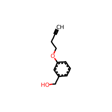 C#CCCOc1cccc(CO)c1